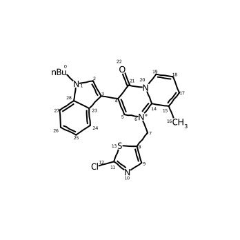 CCCCn1cc(-c2c[n+](Cc3cnc(Cl)s3)c3c(C)cccn3c2=O)c2ccccc21